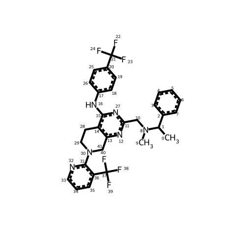 CC(c1ccccc1)N(C)Cc1nc2c(c(Nc3ccc(C(F)(F)F)cc3)n1)CCN(c1ncccc1C(F)(F)F)C2